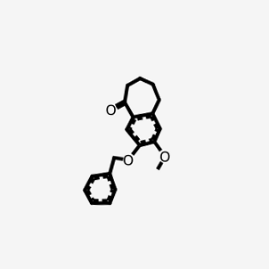 COc1cc2c(cc1OCc1ccccc1)C(=O)CCCC2